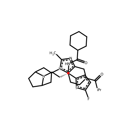 Cc1nc2c(n1C1CC3CCC(C1)N3CC[C@H](NC(=O)C1CCCCC1)c1ccc(F)s1)CCN(C(=O)C(C)C)C2